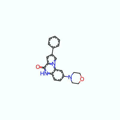 O=c1[nH]c2ccc(N3CCOCC3)cc2n2cc(-c3ccccc3)cc12